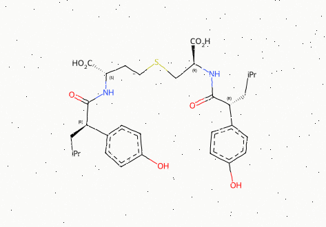 CC(C)C[C@@H](C(=O)N[C@@H](CCSC[C@H](NC(=O)[C@H](CC(C)C)c1ccc(O)cc1)C(=O)O)C(=O)O)c1ccc(O)cc1